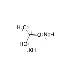 CC(=O)O.[KH].[NaH]